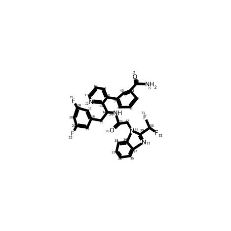 NC(=O)c1cccc(-c2cccnc2C(Cc2cc(F)cc(F)c2)NC(=O)Cn2c(C(F)F)nc3ccccc32)c1